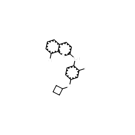 CCc1cc(OC2CCC2)ccc1Nc1ccc2cccc(Cl)c2n1